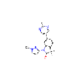 CCn1ccc(N2C(=O)C(C)(C)c3ccc(-c4cnc(C)nc4)cc32)n1